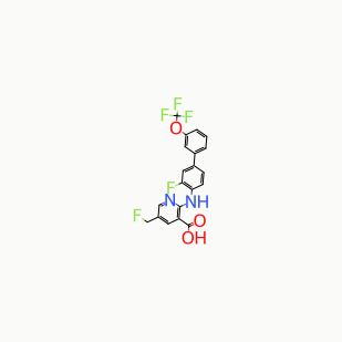 O=C(O)c1cc(CF)cnc1Nc1ccc(-c2cccc(OC(F)(F)F)c2)cc1F